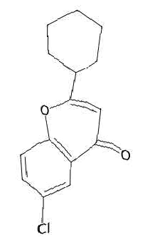 O=c1cc(C2CCCCC2)oc2ccc(Cl)cc12